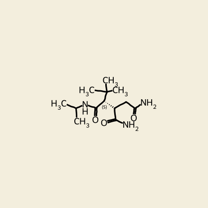 CC(C)NC(=O)[C@@H](C(CC(N)=O)C(N)=O)C(C)(C)C